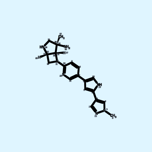 Cn1cc(-c2cc(-c3ccc(N4C[C@@H]5NC[C@@](C)(N)[C@@H]54)nc3)c[nH]2)cn1